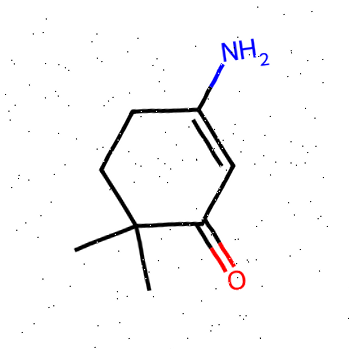 CC1(C)CCC(N)=CC1=O